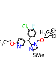 CSc1cn(COCC[Si](C)(C)C)c(C(c2ccc(OCC(F)(F)F)nc2)c2ccc(F)c(Cl)c2)n1